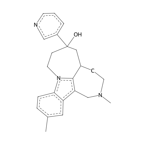 Cc1ccc2c(c1)c1c3n2CCC(O)(c2cccnc2)CC3CCN(C)C1